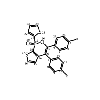 Cc1ccc(C2=C(c3ccc(C)cc3)c3ccsc3P(=O)(c3cccs3)O2)cc1